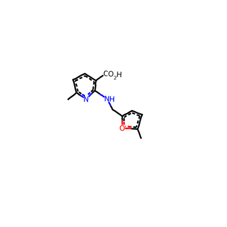 Cc1ccc(C(=O)O)c(NCc2ccc(C)o2)n1